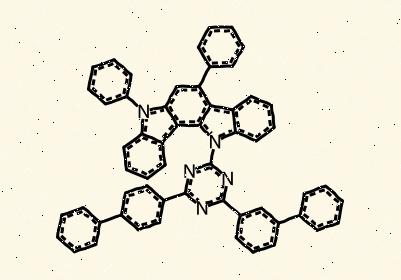 c1ccc(-c2ccc(-c3nc(-c4cccc(-c5ccccc5)c4)nc(-n4c5ccccc5c5c(-c6ccccc6)cc6c(c7ccccc7n6-c6ccccc6)c54)n3)cc2)cc1